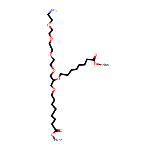 CCCCCCCCCOC(=O)CCCCCCCOCC(COCCOCCOCCOCCN)OCCCCCCCC(=O)OCCCCCCCCC